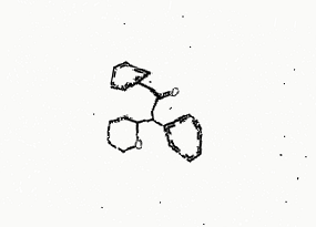 O=C(c1ccccc1)C(c1ccccc1)C1CCCCO1